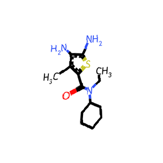 CCN(C(=O)c1sc(N)c(N)c1C)C1CCCCC1